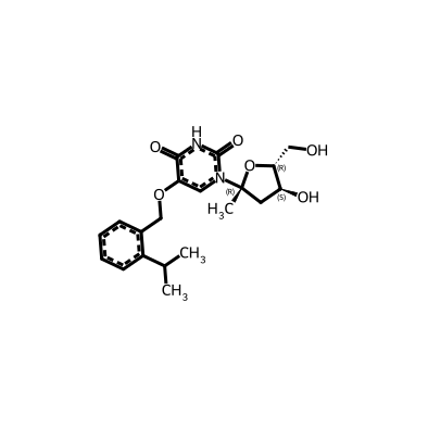 CC(C)c1ccccc1COc1cn([C@@]2(C)C[C@H](O)[C@@H](CO)O2)c(=O)[nH]c1=O